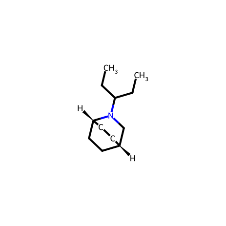 CCC(CC)N1C[C@H]2CC[C@@H]1CC2